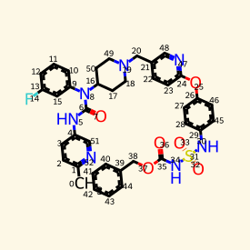 Cc1ccc(NC(=O)N(c2cccc(F)c2)C2CCN(Cc3ccc(Oc4ccc(NS(=O)(=O)NC(=O)OCc5ccccc5)cc4)nc3)CC2)cn1